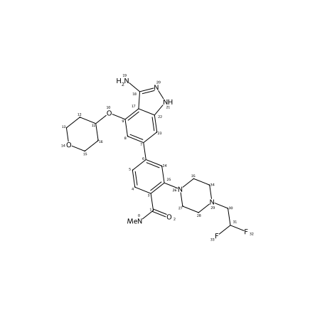 CNC(=O)c1ccc(-c2cc(OC3CCOCC3)c3c(N)n[nH]c3c2)cc1N1CCN(CC(F)F)CC1